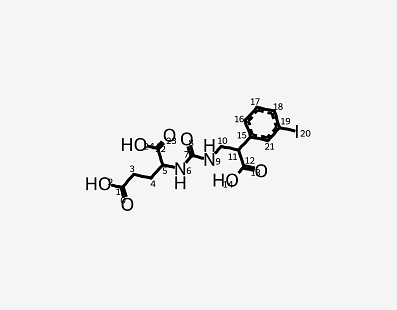 O=C(O)CCC(NC(=O)NCC(C(=O)O)c1cccc(I)c1)C(=O)O